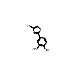 CCCc1cc(-c2nc(CC)cs2)ccc1O